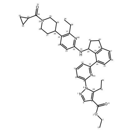 CCOC(=O)c1cnn(-c2cccc(-c3cccc4c3C(Nc3ccc(C5CCN(C(=O)C6CC6)CC5)c(CC)n3)CC4)n2)c1CC